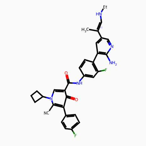 CCN/C=C(\C)c1cnc(N)c(-c2ccc(NC(=O)c3cn(C4CCC4)c(C#N)c(-c4ccc(F)cc4)c3=O)cc2F)c1